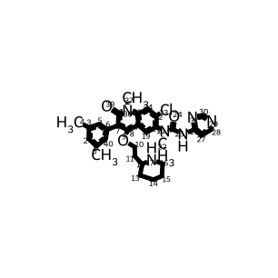 Cc1cc(C)cc(-c2c(OCCC3CCCCN3)c3cc(N(C)C(=O)Nc4ccncn4)c(Cl)cc3n(C)c2=O)c1